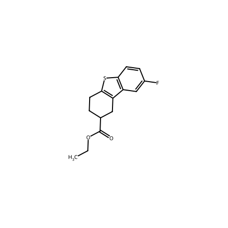 CCOC(=O)C1CCc2sc3ccc(F)cc3c2C1